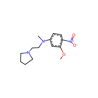 COc1cc(N(C)CCN2CCCC2)ccc1[N+](=O)[O-]